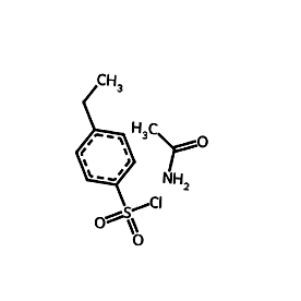 CC(N)=O.CCc1ccc(S(=O)(=O)Cl)cc1